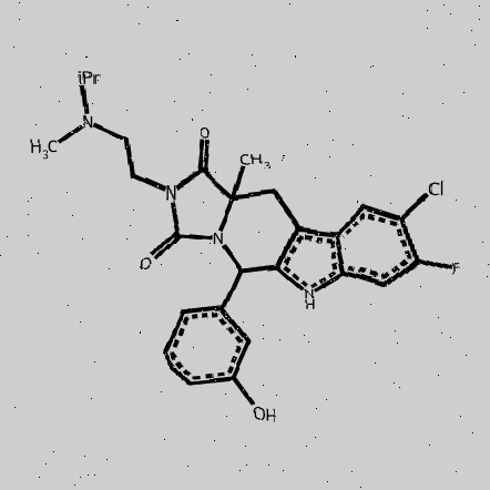 CC(C)N(C)CCN1C(=O)N2C(c3cccc(O)c3)c3[nH]c4cc(F)c(Cl)cc4c3CC2(C)C1=O